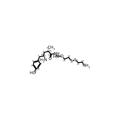 C[C@@H](C[C@@H](N)Cc1ccc(O)cc1)C(=O)NNOCCSSCCN